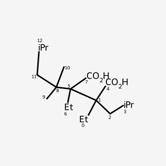 CCC(CC(C)C)(C(=O)O)C(CC)(C(=O)O)C(C)(C)CC(C)C